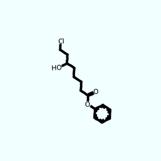 O=C(CCCCC(O)CCCl)Oc1ccccc1